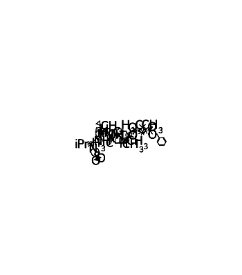 CCC[C@@H]1[C@@]2(C)CC[C@H](OC(=O)[C@H]3C[C@@H](C(=O)OCc4ccccc4)C3(C)C)C(C)(C)[C@@H]2CC[C@@]1(C)[C@]1(C)CC[C@@]2(NC[C@H](C(C)C)N3CCS(=O)(=O)CC3)CC[C@@H](C3(C)CC3)[C@@H]2C1